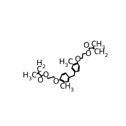 C=C(C)C(=O)OCCOc1ccc(Cc2ccc(OCCOC(=O)C(=C)C)c(C)c2)cc1C